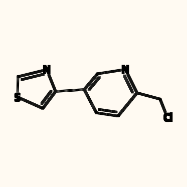 ClCc1ccc(-c2cscn2)cn1